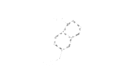 CCc1ccc2c(O)cccc2c1